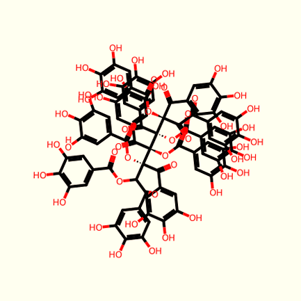 O=C(OC(C(=O)c1cc(O)c(O)c(O)c1)[C@](OC(=O)c1cc(O)c(O)c(O)c1)(C(=O)c1cc(O)c(O)c(O)c1)[C@](OC(=O)c1cc(O)c(O)c(O)c1)(C(=O)c1cc(O)c(O)c(O)c1)[C@@](OC(=O)c1cc(O)c(O)c(O)c1)(C(=O)c1cc(O)c(O)c(O)c1)[C@@](OC(=O)c1cc(O)c(O)c(O)c1)(C(=O)C(=O)c1cc(O)c(O)c(O)c1)C(=O)c1cc(O)c(O)c(O)c1)c1cc(O)c(O)c(O)c1